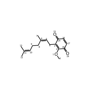 COC1=C(CC=C(C)CCC=C(C)C)C(=O)C=CC1=O